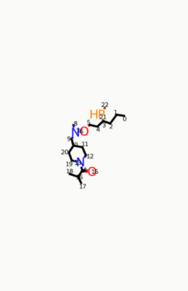 CCCC(CCON(C)CC1CCN(C(=O)C(C)C)CC1)PC